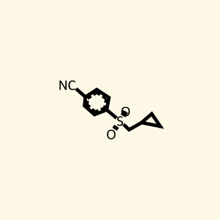 N#Cc1ccc(S(=O)(=O)CC2CC2)cc1